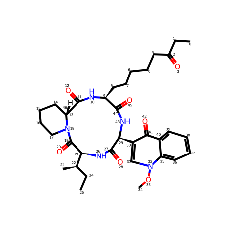 CCC(=O)CCCCC[C@@H]1NC(=O)[C@H]2CCCCN2C(=O)[C@H]([C@H](C)CC)NC(=O)[C@H](c2cn(OC)c3ccccc3c2=O)NC1=O